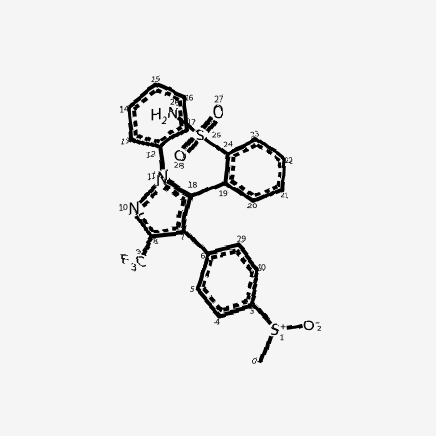 C[S+]([O-])c1ccc(-c2c(C(F)(F)F)nn(-c3ccccc3)c2-c2ccccc2S(N)(=O)=O)cc1